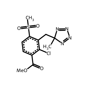 COC(=O)c1ccc(S(C)(=O)=O)c(CC2(C)N=NN=N2)c1Cl